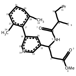 COC(=O)CC(NC(=O)C(I)CC(C)C)c1cncc(-c2c(C)cccc2C)c1